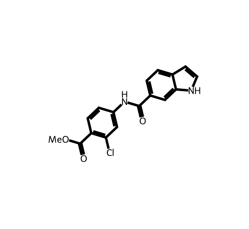 COC(=O)c1ccc(NC(=O)c2ccc3cc[nH]c3c2)cc1Cl